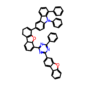 C1=CC2C3=C(OC2C(c2nc(-c4ccccc4)nc(-c4ccc5c(c4)oc4ccccc45)n2)=C1)C(c1ccc2c(c1)c1cccc(-c4ccccc4)c1n2-c1ccccc1)=CCC3